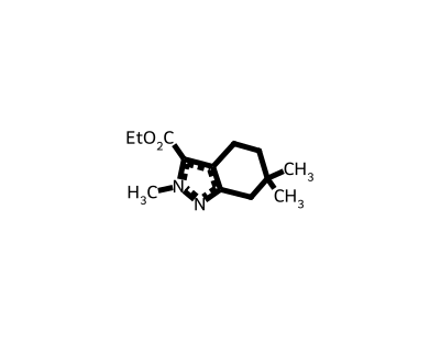 CCOC(=O)c1c2c(nn1C)CC(C)(C)CC2